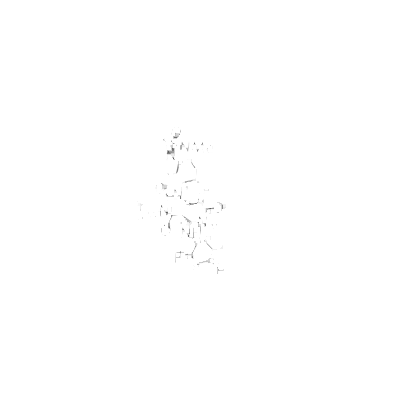 CN[S@](C)(=O)=Nc1cccc(-n2c(=O)n(C3CC3)c(=O)c3c(Nc4ccc(I)cc4F)n(C)c(=O)c(C)c32)c1